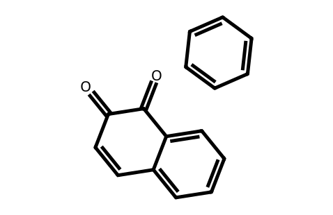 O=C1C=Cc2ccccc2C1=O.c1ccccc1